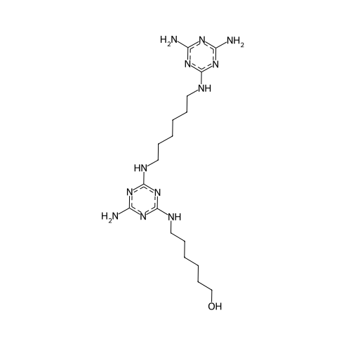 Nc1nc(N)nc(NCCCCCCNc2nc(N)nc(NCCCCCCO)n2)n1